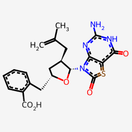 C=C(C)C[C@@H]1C[C@@H](Cc2ccccc2C(=O)O)O[C@H]1n1c(=O)sc2c(=O)[nH]c(N)nc21